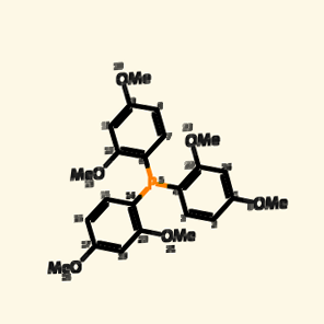 COc1ccc(P(c2ccc(OC)cc2OC)c2ccc(OC)cc2OC)c(OC)c1